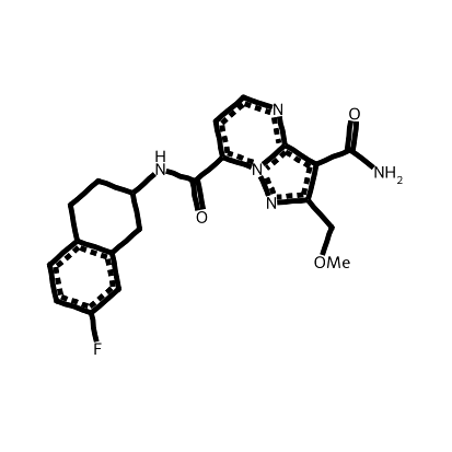 COCc1nn2c(C(=O)NC3CCc4ccc(F)cc4C3)ccnc2c1C(N)=O